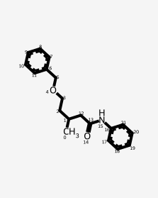 CC(CCOCc1ccccc1)CC(=O)Nc1ccccc1